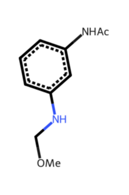 COCNc1cccc(NC(C)=O)c1